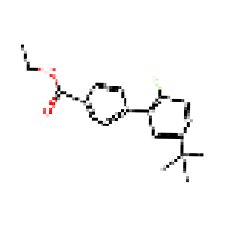 CCOC(=O)c1ccc(-c2cc(C(C)(C)C)ccc2F)cc1